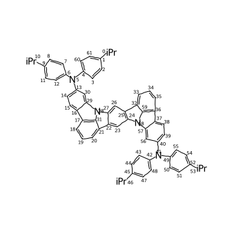 CC(C)c1ccc(N(c2ccc(C(C)C)cc2)c2ccc3c4cccc5c6cc7c(cc6n(c3c2)c45)c2cccc3c4ccc(N(c5ccc(C(C)C)cc5)c5ccc(C(C)C)cc5)cc4n7c32)cc1